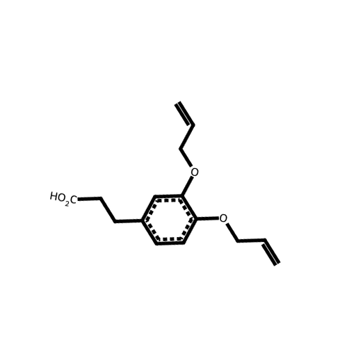 C=CCOc1ccc(CCC(=O)O)cc1OCC=C